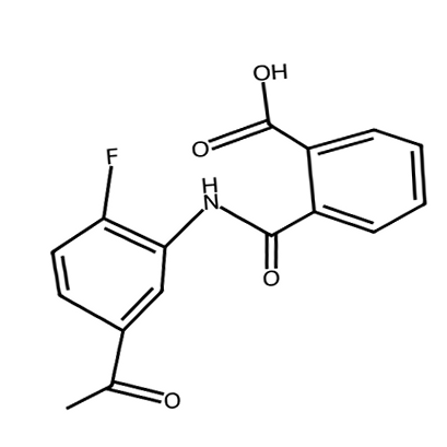 CC(=O)c1ccc(F)c(NC(=O)c2ccccc2C(=O)O)c1